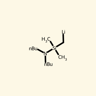 [Li][CH2][Si](C)(C)N(CCCC)CCCC